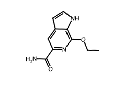 CCOc1nc(C(N)=O)cc2cc[nH]c12